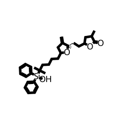 C=C1CC(CCCCC(C)(C)[Si](O)(c2ccccc2)c2ccccc2)O[C@H]1CCC1CC(C)C(=O)O1